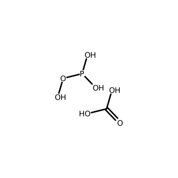 O=C(O)O.OOP(O)O